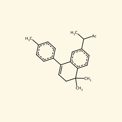 CC(=O)C(C)c1ccc2c(c1)C(c1ccc(C)cc1)=CCC2(C)C